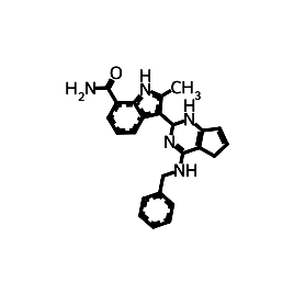 Cc1[nH]c2c(C(N)=O)cccc2c1C1N=C(NCc2ccccc2)C2=C(C=CC2)N1